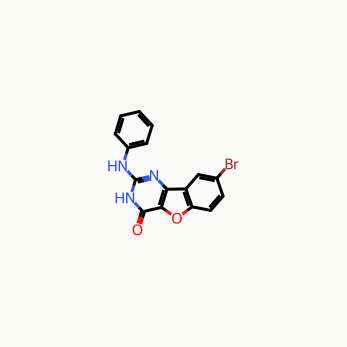 O=c1[nH]c(Nc2ccccc2)nc2c1oc1ccc(Br)cc12